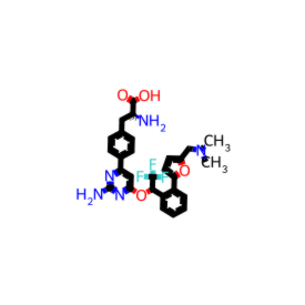 CN(C)Cc1ccc(-c2ccccc2C(Oc2cc(-c3ccc(C[C@H](N)C(=O)O)cc3)nc(N)n2)C(F)(F)F)o1